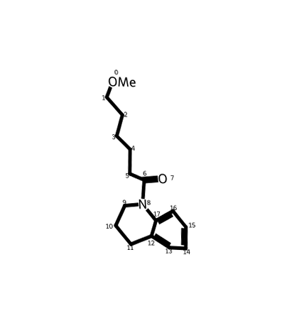 COCCCCCC(=O)N1CCCc2ccccc21